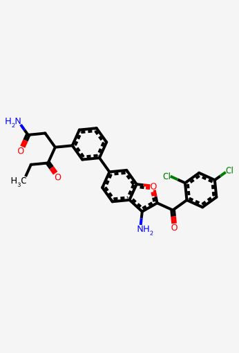 CCC(=O)C(CC(N)=O)c1cccc(-c2ccc3c(N)c(C(=O)c4ccc(Cl)cc4Cl)oc3c2)c1